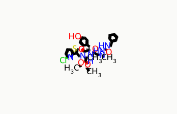 CCOC(OCC)[C@H](C)N(Cc1csc2ccc(Cl)nc12)C(=O)[C@H](Cc1ccc(O)cc1)NC(=O)CN(C)NC(=O)NCc1ccccc1